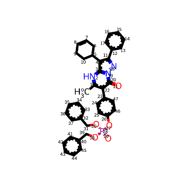 Cc1[nH]c2c(C3CC=CCC3)c(-c3ccccc3)nn2c(=O)c1-c1ccc(OP(=O)(OCc2ccccc2)OCc2ccccc2)cc1